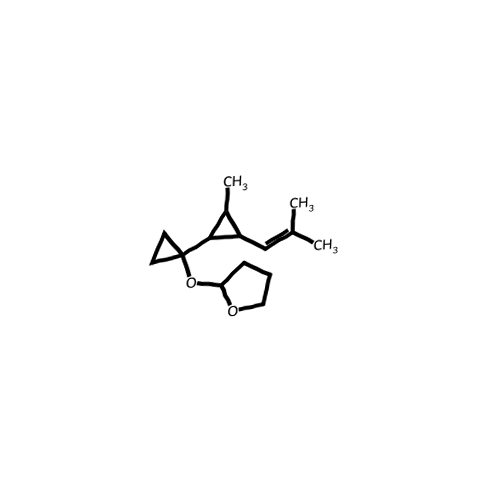 CC(C)=CC1C(C)C1C1(OC2CCCO2)CC1